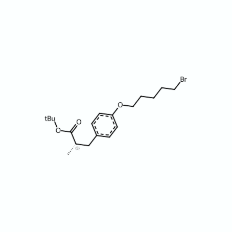 C[C@@H](Cc1ccc(OCCCCCBr)cc1)C(=O)OC(C)(C)C